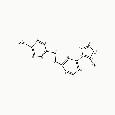 COc1ccc(OCc2cccc(-c3nn[nH]c3C#N)c2)cc1